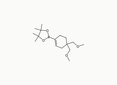 COCC1(COC)CC=C(B2OC(C)(C)C(C)(C)O2)CC1